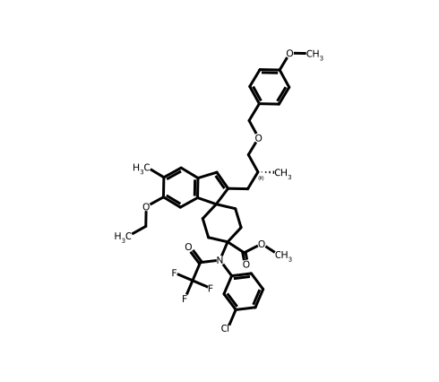 CCOc1cc2c(cc1C)C=C(C[C@@H](C)COCc1ccc(OC)cc1)C21CCC(C(=O)OC)(N(C(=O)C(F)(F)F)c2cccc(Cl)c2)CC1